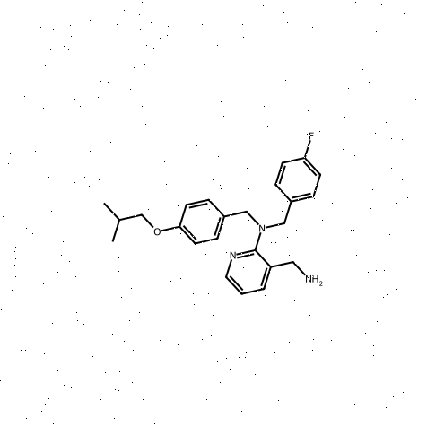 CC(C)COc1ccc(CN(Cc2ccc(F)cc2)c2ncccc2CN)cc1